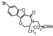 COCCN1C(=O)c2oc3cc(Br)ccc3c2OC[C@@]1(C)C(=O)O